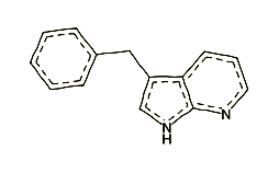 c1ccc(Cc2c[nH]c3ncccc23)cc1